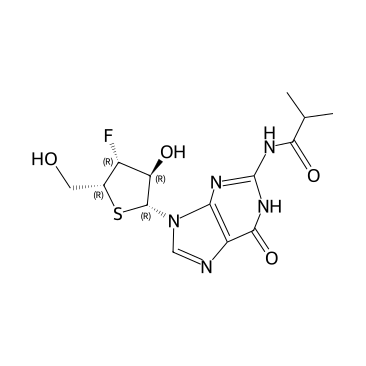 CC(C)C(=O)Nc1nc2c(ncn2[C@@H]2S[C@H](CO)[C@H](F)[C@H]2O)c(=O)[nH]1